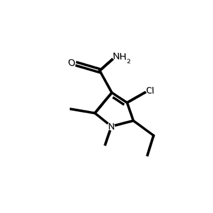 CCC1C(Cl)=C(C(N)=O)C(C)N1C